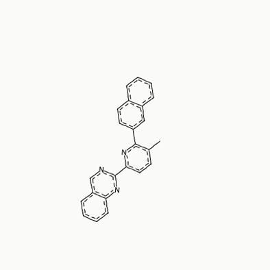 Cc1ccc(-c2ncc3ccccc3n2)nc1-c1ccc2ccccc2c1